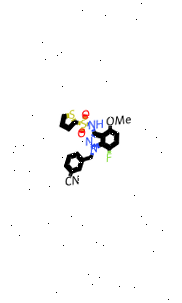 COc1ccc(F)c2c1c(NS(=O)(=O)c1cccs1)nn2Cc1cccc(C#N)c1